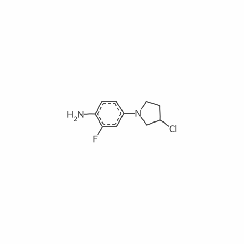 Nc1ccc(N2CCC(Cl)C2)cc1F